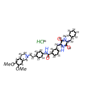 COc1cc2c(cc1OC)CN(CCc1ccc(NC(=O)c3cccc(/C=c4\[nH]c(=O)/c(=C/c5ccccc5)n(C)c4=O)c3)cc1)CC2.Cl